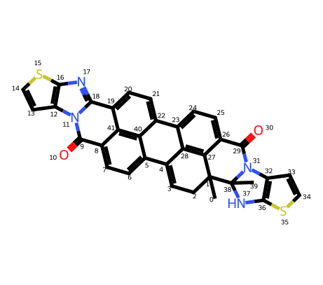 CC12CC=c3c4ccc5c(=O)n6c7ccsc7nc6c6ccc(c7ccc(c1c37)C(=O)N1c3ccsc3NC12C)c4c56